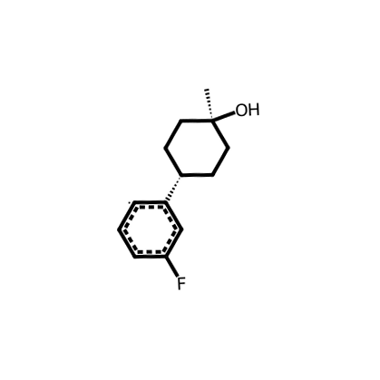 C[C@]1(O)CC[C@H](c2[c]ccc(F)c2)CC1